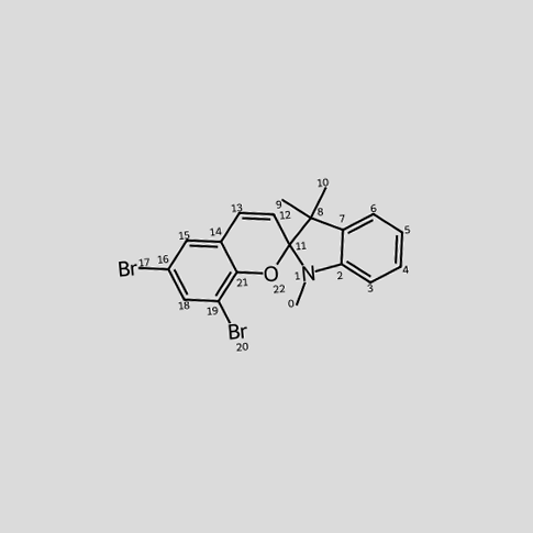 CN1c2ccccc2C(C)(C)C12C=Cc1cc(Br)cc(Br)c1O2